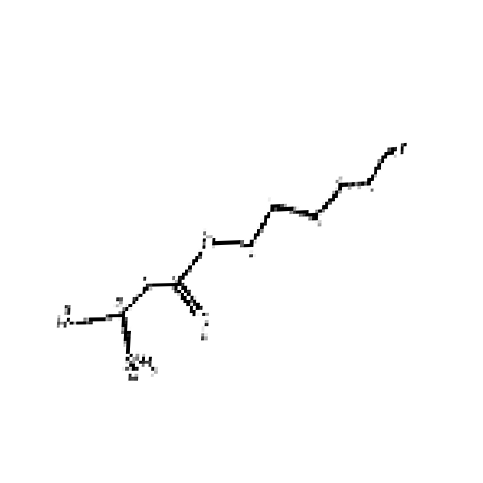 CC(C)CCCCCOC(=O)C[CH](S)[SbH2]